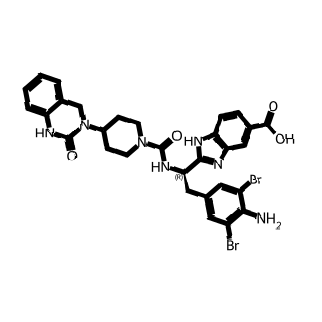 Nc1c(Br)cc(C[C@@H](NC(=O)N2CCC(N3Cc4ccccc4NC3=O)CC2)c2nc3cc(C(=O)O)ccc3[nH]2)cc1Br